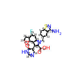 Nc1nsc2ccc(Cn3c(C(=O)O)c(-c4cnc[nH]c4=O)c4c5occc5c(F)cc43)cc12